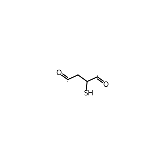 O=[C]CC(S)[C]=O